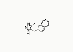 [CH2]c1nn[nH]c1Cc1ccc2ccccc2c1